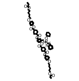 C=CC(=O)OCCCCCCOc1ccc(OC(=O)C2CCC(C(=O)Oc3ccc(OC(=O)C4CCC(C(=O)Oc5ccc(OCCCCCCOC(=O)C=C)cc5)CC4)c(/C=N/N(COC4CCCCC4)c4nc5ccccc5s4)c3)CC2)cc1